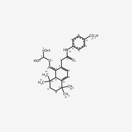 CCCCCCCCC(O)ON=C1C(CC(=O)Nc2ccc(C(=O)O)cc2)=CC=C2C1C(C)(C)CCC2(C)C